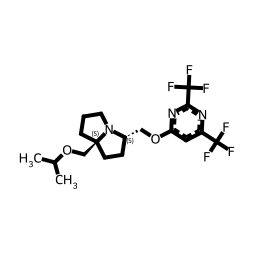 CC(C)OC[C@@]12CCCN1[C@H](COc1cc(C(F)(F)F)nc(C(F)(F)F)n1)CC2